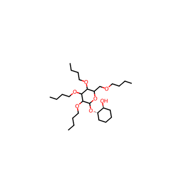 CCCCOCC1OC(O[C@H]2CCCC[C@@H]2O)C(OCCCC)C(OCCCC)C1OCCCC